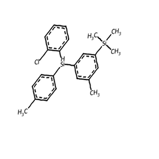 Cc1ccc([SiH](c2cc(C)cc([Si](C)(C)C)c2)c2ccccc2Cl)cc1